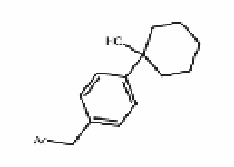 CC(=O)Cc1ccc(C2(O)CCCCC2)cc1